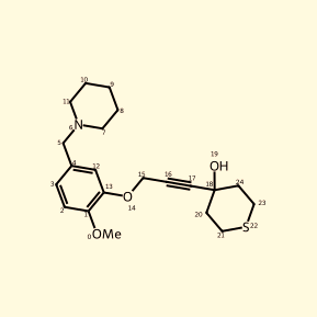 COc1ccc(CN2CCCCC2)cc1OCC#CC1(O)CCSCC1